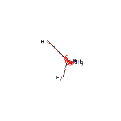 CCCCCCCCCCCCCCCCCCCCCC(=O)OC[C@H](COP(=O)([O-])OCC[N+](C)(C)C)OC(=O)CCCCCCCCCCCCC